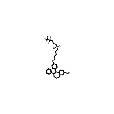 O=S(=O)(CCCCCOc1ccc(C2=C(c3ccccc3)CCCc3cc(O)ccc32)cc1)CCCC(F)(F)C(F)(F)F